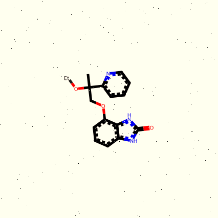 CCOC(C)(COc1cccc2[nH]c(=O)[nH]c12)c1ccccn1